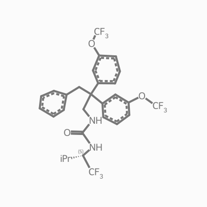 CC(C)[C@H](NC(=O)NCC(Cc1ccccc1)(c1cccc(OC(F)(F)F)c1)c1cccc(OC(F)(F)F)c1)C(F)(F)F